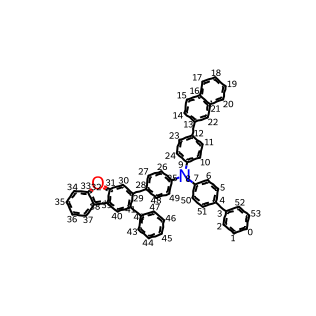 c1ccc(-c2ccc(N(c3ccc(-c4ccc5ccccc5c4)cc3)c3ccc(-c4cc5oc6ccccc6c5cc4-c4ccccc4)cc3)cc2)cc1